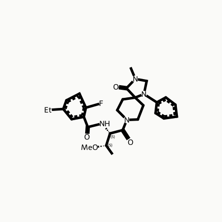 CCc1ccc(F)c(C(=O)N[C@H](C(=O)N2CCC3(CC2)C(=O)N(C)CN3c2ccccc2)[C@H](C)OC)c1